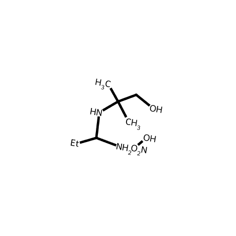 CCC(N)NC(C)(C)CO.O=[N+]([O-])O